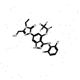 CCn1c(CO)nn(-c2cc(O[C@H](C)C(F)(F)F)c3c(Nc4c(F)cccc4Cl)n[nH]c3c2)c1=O